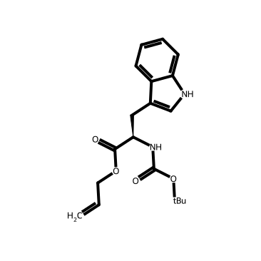 C=CCOC(=O)[C@@H](Cc1c[nH]c2ccccc12)NC(=O)OC(C)(C)C